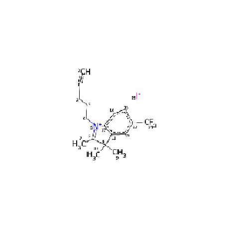 C#CCCC[N+]1=C(C)C(C)(C)c2cc(C(F)(F)F)ccc21.[I-]